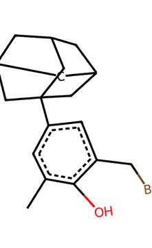 Cc1cc(C23CC4CC(CC(C4)C2)C3)cc(CBr)c1O